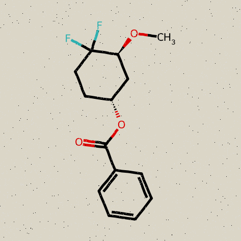 CO[C@H]1C[C@H](OC(=O)c2ccccc2)CCC1(F)F